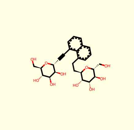 OC[C@H]1O[C@H](CCc2cccc3cccc(C#C[C@H]4O[C@H](CO)[C@@H](O)[C@H](O)[C@@H]4O)c23)[C@@H](O)[C@@H](O)[C@@H]1O